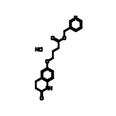 Cl.O=C1CCc2cc(OCCCC(=O)OCc3cccnc3)ccc2N1